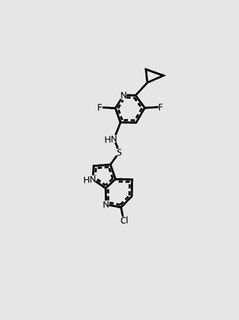 Fc1cc(NSc2c[nH]c3nc(Cl)ccc23)c(F)nc1C1CC1